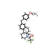 COc1ccc(Cc2ccc3c(c2)CC[C@H]2C3CCCN2C(=O)C(F)(F)F)cc1